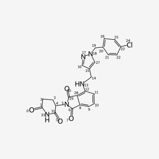 O=C1CCC(N2C(=O)c3cccc(NCc4cnn(Cc5ccc(Cl)cc5)c4)c3C2=O)C(=O)N1